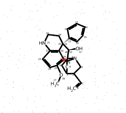 C=CC1CN2CCC1C[C@H]2[C@H](O)[C@]1(c2ccccc2)CCNc2ccc(OC)cc21